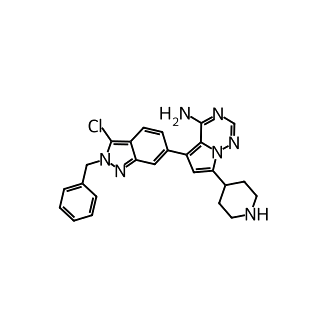 Nc1ncnn2c(C3CCNCC3)cc(-c3ccc4c(Cl)n(Cc5ccccc5)nc4c3)c12